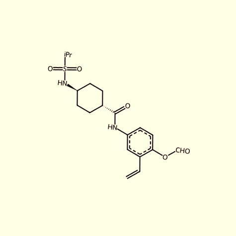 C=Cc1cc(NC(=O)[C@H]2CC[C@H](NS(=O)(=O)C(C)C)CC2)ccc1OC=O